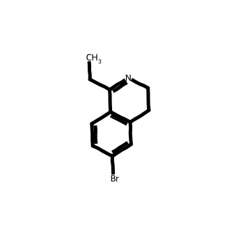 CCC1=NCCc2cc(Br)ccc21